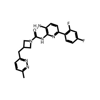 Cc1ccc(CC2CN(C(=O)Nc3nc(-c4ccc(F)cc4F)ccc3N)C2)nn1